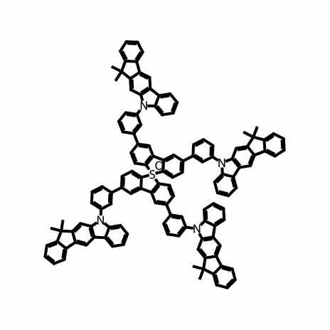 CC1(C)c2ccccc2-c2cc3c4ccccc4n(-c4cccc(-c5ccc6c(c5)-c5cc(-c7cccc(-n8c9ccccc9c9cc%10c(cc98)C(C)(C)c8ccccc8-%10)c7)ccc5S65(=O)c6ccc(-c7cccc(-n8c9ccccc9c9cc%10c(cc98)C(C)(C)c8ccccc8-%10)c7)cc6-c6cc(-c7cccc(-n8c9ccccc9c9cc%10c(cc98)C(C)(C)c8ccccc8-%10)c7)ccc65)c4)c3cc21